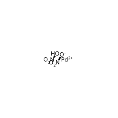 O=[N+]([O-])O.O=[N+]([O-])[O-].[Pd+2]